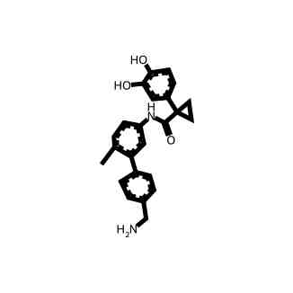 Cc1ccc(NC(=O)C2(c3ccc(O)c(O)c3)CC2)cc1-c1ccc(CN)cc1